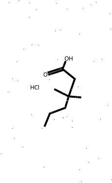 CCCC(C)(C)CC(=O)O.Cl